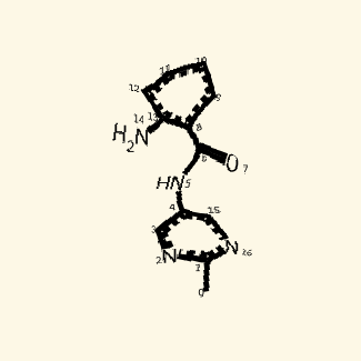 Cc1ncc(NC(=O)c2ccccc2N)cn1